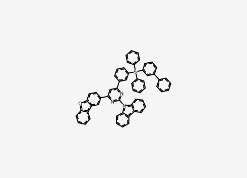 c1ccc(-c2cccc([Si](c3ccccc3)(c3ccccc3)c3cccc(-c4cc(-c5ccc6oc7ccccc7c6c5)nc(-n5c6ccccc6c6ccccc65)n4)c3)c2)cc1